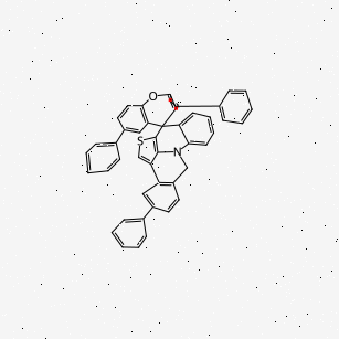 c1ccc(-c2ccc3c(c2)-c2csc4c2N(C3)c2ccccc2C42c3cc(-c4ccccc4)ccc3Oc3ccc(-c4ccccc4)cc32)cc1